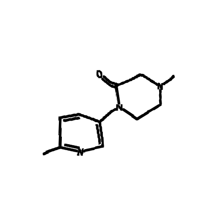 Cc1ccc(N2CCN(C)CC2=O)cn1